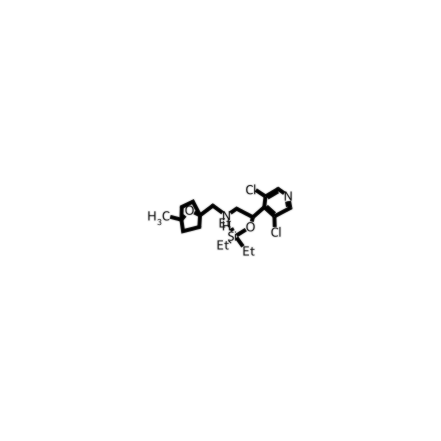 CC[Si](CC)(CC)OC(CNCC12CCC(C)(CC1)O2)c1c(Cl)cncc1Cl